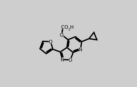 O=C(O)Oc1cc(C2CC2)nc2onc(-c3ccco3)c12